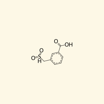 O=C(O)c1cccc(C[SH](=O)=O)c1